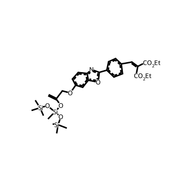 C=C(COc1ccc2nc(-c3ccc(C=C(C(=O)OCC)C(=O)OCC)cc3)oc2c1)O[Si](C)(O[Si](C)(C)C)O[Si](C)(C)C